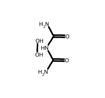 NC(=O)NC(N)=O.OO